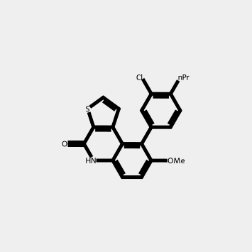 CCCc1ccc(-c2c(OC)ccc3[nH]c(=O)c4sccc4c23)cc1Cl